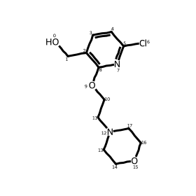 OCc1ccc(Cl)nc1OCCN1CCOCC1